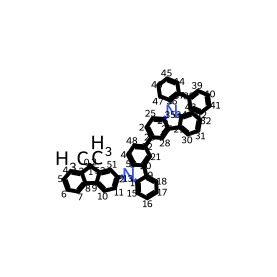 CC1(C)c2ccccc2-c2ccc(-n3c4ccccc4c4cc(-c5ccc6c(c5)c5ccccc5n6C5=C(c6ccccc6)C=CCC5)ccc43)cc21